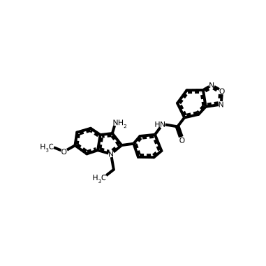 CCn1c(-c2cccc(NC(=O)c3ccc4nonc4c3)c2)c(N)c2ccc(OC)cc21